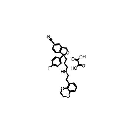 N#Cc1ccc2c(c1)COC2(CCCNCCc1cccc2c1OCCO2)c1ccc(F)cc1.O=C(O)C(=O)O